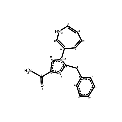 NC(=O)c1nc(Cc2ccccc2)n(C2=CNC=CC=C2)n1